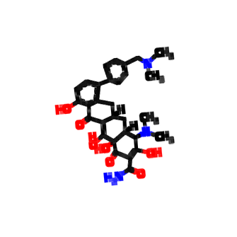 CN(C)Cc1ccc(-c2ccc(O)c3c2C[C@@H]2C[C@@H]4[C@@H](N(C)C)C(O)=C(C(N)=O)C(=O)[C@]4(O)C(O)=C2C3=O)cc1